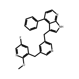 COc1ncc(F)cc1Cc1[c]ncc(Cc2c[nH]c3nccc(-c4ccccc4)c23)c1